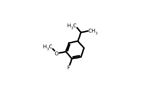 COC1=CC(C(C)C)CC=C1F